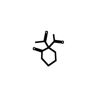 CC(=O)C1(C(C)=O)CCCCC1=O